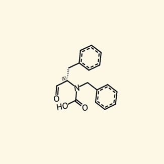 O=C[C@H](Cc1ccccc1)N(Cc1ccccc1)C(=O)O